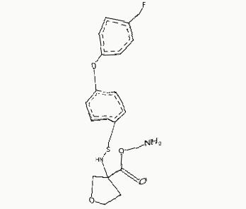 NOC(=O)C1(NSc2ccc(Oc3ccc(F)cc3)cc2)CCOC1